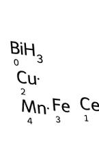 [BiH3].[Ce].[Cu].[Fe].[Mn]